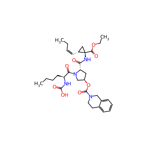 CC/C=C\[C@@H]1C[C@]1(NC(=O)[C@@H]1C[C@@H](OC(=O)N2CCc3ccccc3C2)CN1C(=O)[C@H](CCCC)NC(=O)O)C(=O)OCC